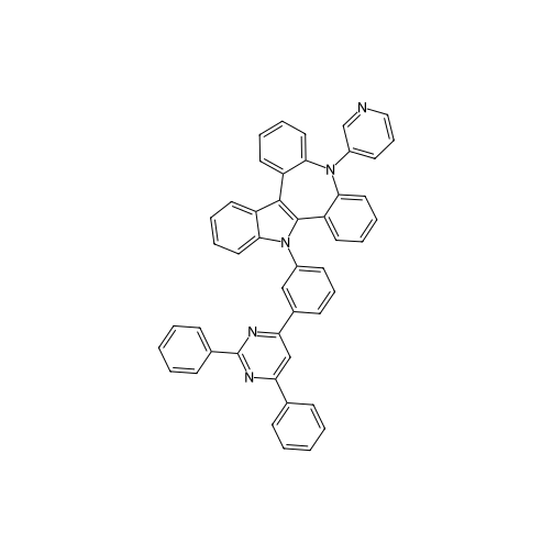 c1ccc(-c2cc(-c3cccc(-n4c5c(c6ccccc64)-c4ccccc4N(c4cccnc4)c4ccccc4-5)c3)nc(-c3ccccc3)n2)cc1